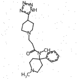 CN1CCC(c2ccccc2)(N(C)C(=O)CCN2CCC(c3nnn[nH]3)CC2)CC1